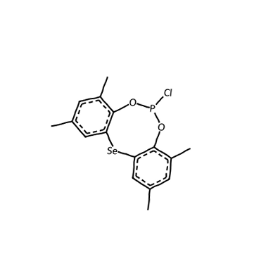 Cc1cc(C)c2c(c1)[Se]c1cc(C)cc(C)c1OP(Cl)O2